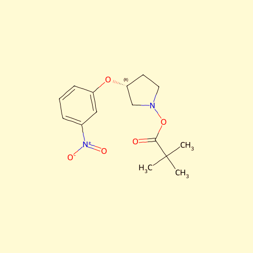 CC(C)(C)C(=O)ON1CC[C@@H](Oc2cccc([N+](=O)[O-])c2)C1